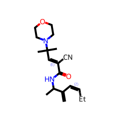 C=C(/C=C\CC)C(C)NC(=O)/C(C#N)=C/C(C)(C)N1CCOCC1